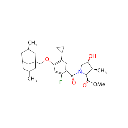 COC(=O)[C@@H]1[C@H](C)[C@H](O)CN1C(=O)c1cc(C2CC2)c(OCC23CC(C)CC(CC(C)C2)C3)cc1F